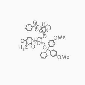 COc1ccc(C(OC[C@H]2O[C@@H](n3ccc(=O)n(C)c3=O)C[C@@H]2O[P@]2O[C@H](CS(=O)(=O)c3ccccc3)[C@@H]3CCCN32)(c2ccccc2)c2ccc(OC)cc2)cc1